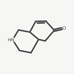 O=C1C=CC2CNCCC2C1